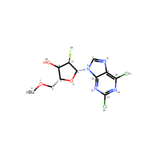 CCCCOC[C@H]1O[C@@H](n2cnc3c(Cl)nc(Cl)nc32)[C@H](F)C1O